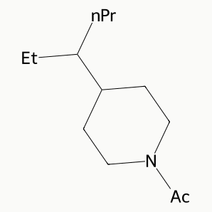 CCCC(CC)C1CCN(C(C)=O)CC1